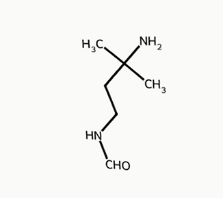 CC(C)(N)CCNC=O